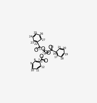 O=C(O[Si](OC(=O)c1ccccc1)OC(=O)c1ccccc1)c1ccccc1